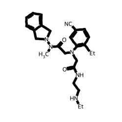 CCNCCNC(=O)CN(CC(=O)N(C)N1Cc2ccccc2C1)c1cc(C#N)ccc1CC